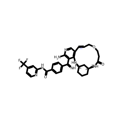 N=C(c1ccc(C(=O)Nc2cc(C(F)(F)F)ccn2)cc1)c1c(N)ncc2c1N[C@@H]1CCC[C@H](C1)NC(=O)CCOC/C=C/2